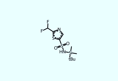 CC(C)(C)[Si](C)(C)NS(=O)(=O)c1cnc(C(F)F)s1